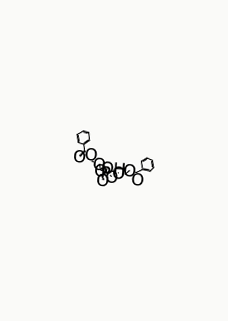 O=C(OCOOP(=O)(O)OOCOC(=O)c1ccccc1)c1ccccc1